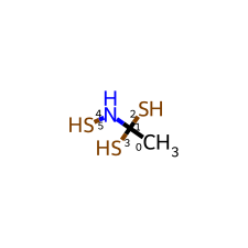 CC(S)(S)NS